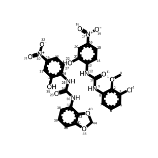 COc1c(Cl)cccc1NC(=O)Nc1ccc([N+](=O)[O-])cc1O.O=C(Nc1ccc([N+](=O)[O-])cc1O)Nc1cccc2c1OCO2